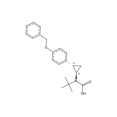 CC(C)(C)N(C(=O)O)[C@@H]1C[C@H]1c1ccc(OCc2ccccc2)cc1